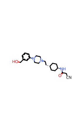 N#CCC(=O)N[C@H]1CC[C@H](CCN2CCN(c3cccc(CO)c3)CC2)CC1